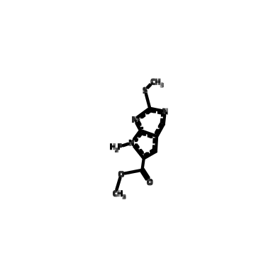 COC(=O)c1cc2cnc(SC)nc2n1P